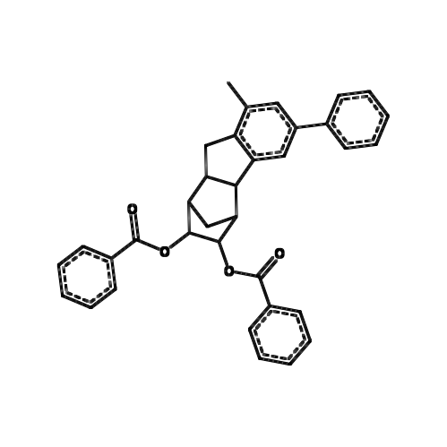 Cc1cc(-c2ccccc2)cc2c1CC1C3CC(C(OC(=O)c4ccccc4)C3OC(=O)c3ccccc3)C21